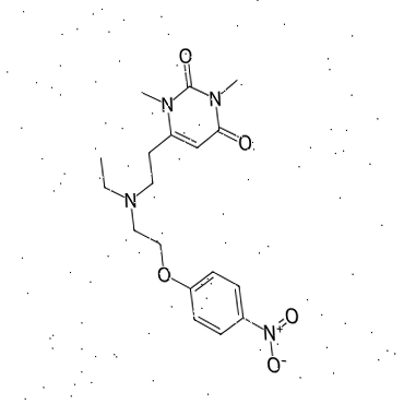 CCN(CCOc1ccc([N+](=O)[O-])cc1)CCc1cc(=O)n(C)c(=O)n1C